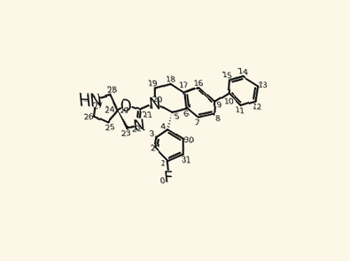 Fc1ccc([C@H]2c3ccc(-c4ccccc4)cc3CCN2C2=NC[C@]3(CCNC3)O2)cc1